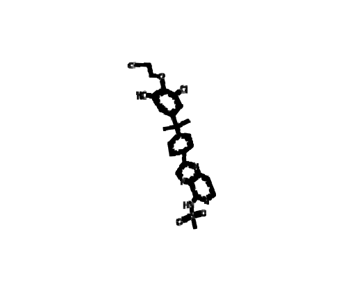 CC(C)(c1ccc(-c2cnc3c(NS(C)(=O)=O)nccc3n2)cc1)c1cc(Cl)c(OCCCl)c(C#N)c1